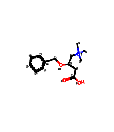 C[N+](C)(C)C[C@@H](CC(=O)O)OCc1ccccc1